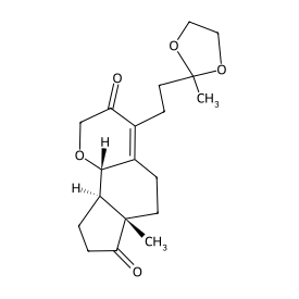 CC1(CCC2=C3CC[C@]4(C)C(=O)CC[C@H]4[C@@H]3OCC2=O)OCCO1